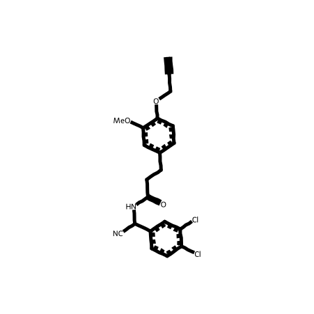 C#CCOc1ccc(CCC(=O)NC(C#N)c2ccc(Cl)c(Cl)c2)cc1OC